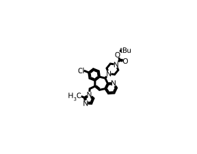 Cc1nccn1CC1=Cc2cccnc2C(N2CCN(C(=O)OC(C)(C)C)CC2)c2ccc(Cl)cc21